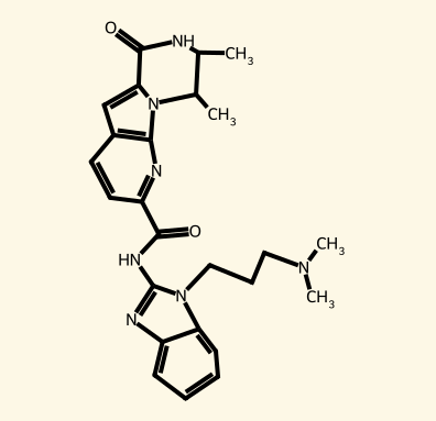 CC1NC(=O)c2cc3ccc(C(=O)Nc4nc5ccccc5n4CCCN(C)C)nc3n2C1C